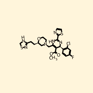 COC(=O)C1=C(CN2CCO[C@H](CCC3=NSCN3)C2)NC(c2nccs2)=N[C@H]1c1ccc(F)cc1Cl